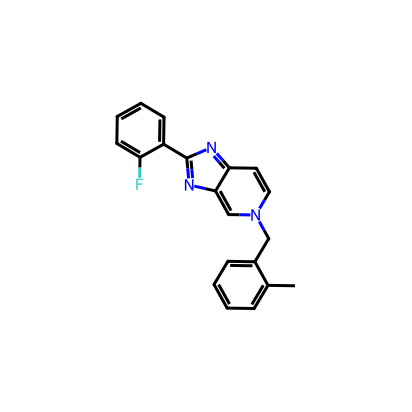 Cc1ccccc1Cn1ccc2nc(-c3ccccc3F)nc-2c1